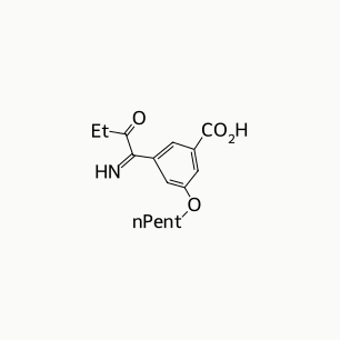 CCCCCOc1cc(C(=N)C(=O)CC)cc(C(=O)O)c1